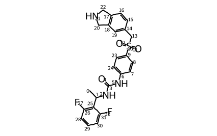 CC(NC(=O)Nc1ccc(S(=O)(=O)Cc2ccc3c(c2)CNC3)cc1)c1c(F)cccc1F